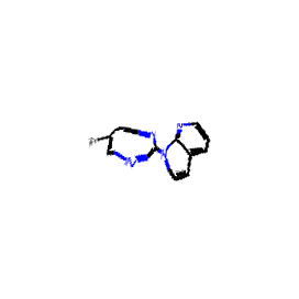 CC(C)c1cnc(-n2ccc3cccnc32)nc1